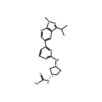 CC(C)c1nn(C)c2ncc(-c3ccnc(N[C@H]4CC[C@H](NC(=O)O)C4)n3)cc12